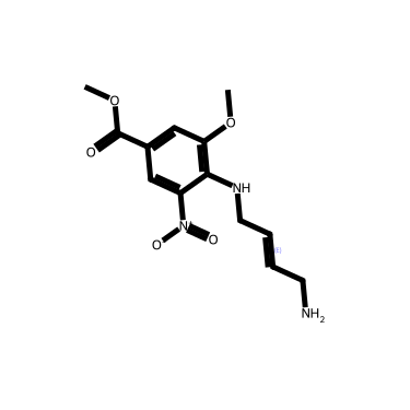 COC(=O)c1cc(OC)c(NC/C=C/CN)c([N+](=O)[O-])c1